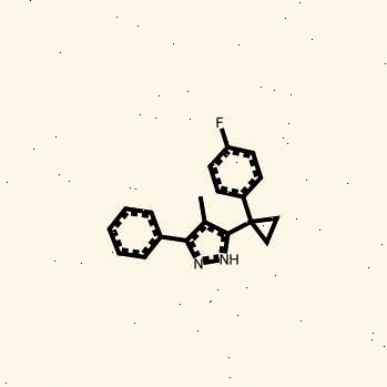 Cc1c(-c2ccccc2)n[nH]c1C1(c2ccc(F)cc2)CC1